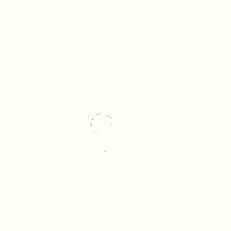 O=C(O)C1CC1c1ncc(Br)cc1Cl